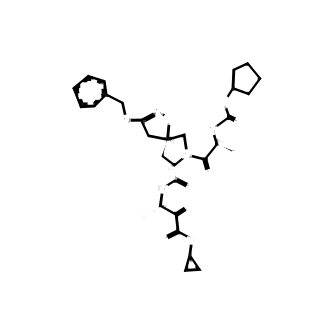 CCC[C@H](NC(=O)[C@@H]1C[C@]2(CC(NCc3ccccc3)=NO2)CN1C(=O)[C@@H](NC(=O)OC1CCCC1)C(C)(C)C)C(=O)C(=O)NC1CC1